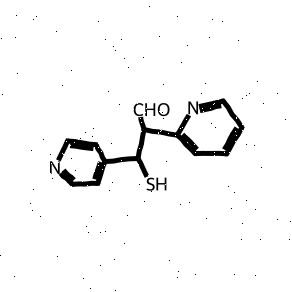 O=CC(c1ccccn1)C(S)c1ccncc1